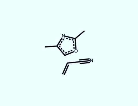 C=CC#N.Cc1coc(C)n1